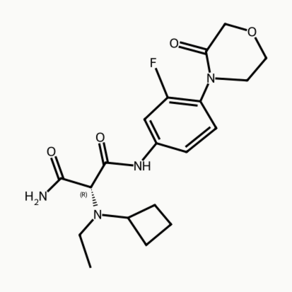 CCN(C1CCC1)[C@H](C(N)=O)C(=O)Nc1ccc(N2CCOCC2=O)c(F)c1